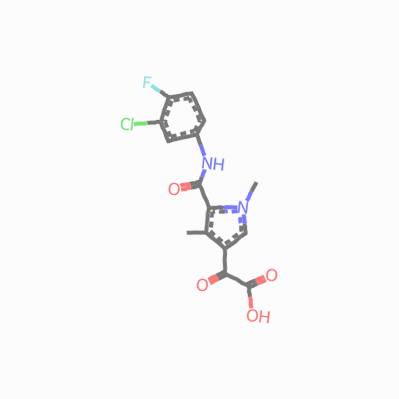 Cc1c(C(=O)C(=O)O)cn(C)c1C(=O)Nc1ccc(F)c(Cl)c1